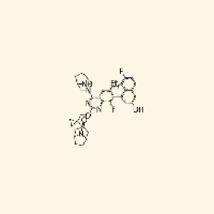 CCc1c(F)ccc2cc(O)cc(-c3c(C(C)C)cc4c(N5CC6CCC(C5)N6)nc(OCC5(CN6C7CCC6CC(=O)C7)CC5)nc4c3F)c12